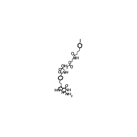 Nc1nc2[nH]cc(CCc3ccc(C(=O)N[C@@H](CCC(=O)OCCNC(=O)CCCc4ccc(I)cc4)C(=O)O)cc3)c2c(=O)[nH]1